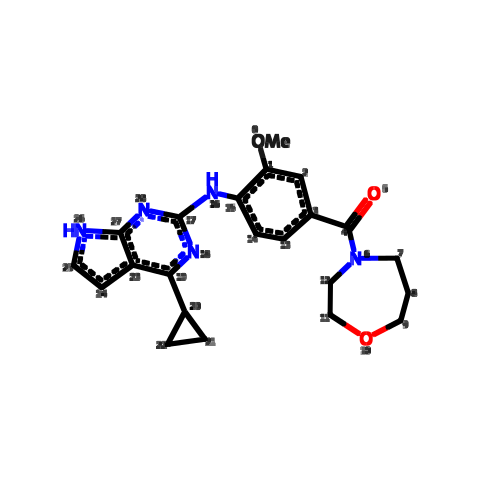 COc1cc(C(=O)N2CCCOCC2)ccc1Nc1nc(C2CC2)c2cc[nH]c2n1